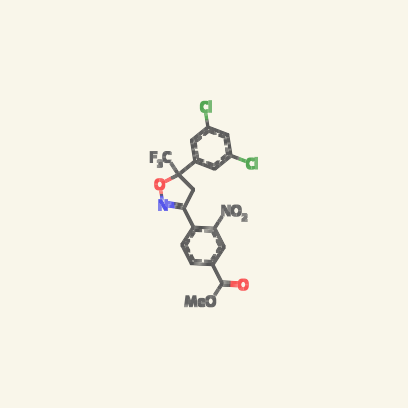 COC(=O)c1ccc(C2=NOC(c3cc(Cl)cc(Cl)c3)(C(F)(F)F)C2)c([N+](=O)[O-])c1